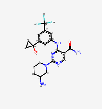 NC(=O)c1cnc(N2CCCC(N)C2)nc1Nc1cc(C(F)(F)F)cc(C2(O)CC2)c1